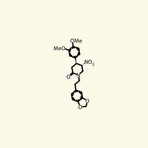 COc1ccc([C@@H]2CC(=O)N(CCc3ccc4c(c3)OCO4)C[C@H]2[N+](=O)[O-])cc1OC